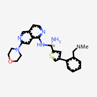 CNCc1ccccc1-c1csc([C@@H](N)Nc2nccc3cnc(N4CCOCC4)cc23)c1